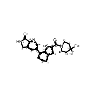 O=C1NCc2cc(-c3cccc4cc(C(=O)N5CCC(F)(F)CC5)sc34)cnc21